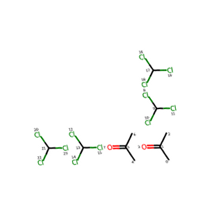 CC(C)=O.CC(C)=O.ClC(Cl)Cl.ClC(Cl)Cl.ClC(Cl)Cl.ClC(Cl)Cl